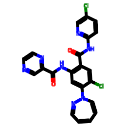 O=C(Nc1cc(N2C=CC=CC=N2)c(Cl)cc1C(=O)Nc1ccc(Cl)cn1)c1cnccn1